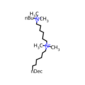 CCCCCCCCCCCCCCCC[N+](C)(C)CCCCCC[N+](C)(C)CCCC